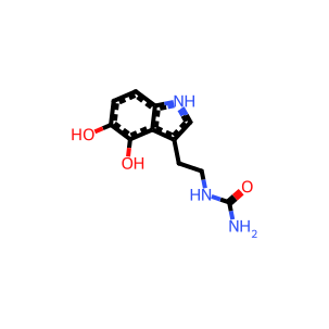 NC(=O)NCCc1c[nH]c2ccc(O)c(O)c12